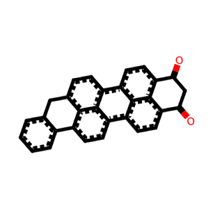 O=C1CC(=O)c2ccc3c4ccc5c6c(ccc(c7ccc1c2c73)c64)Cc1ccccc1-5